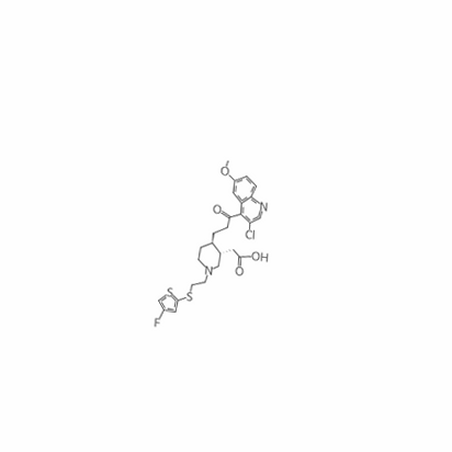 COc1ccc2ncc(Cl)c(C(=O)CC[C@@H]3CCN(CCSc4cc(F)cs4)C[C@H]3CC(=O)O)c2c1